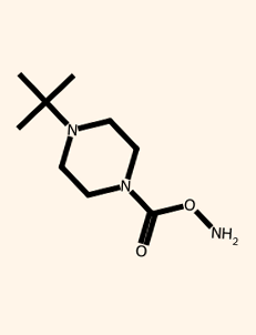 CC(C)(C)N1CCN(C(=O)ON)CC1